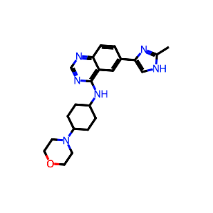 Cc1nc(-c2ccc3ncnc(NC4CCC(N5CCOCC5)CC4)c3c2)c[nH]1